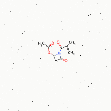 C=C(C)C(=O)N1C(=O)CC1OC(C)=O